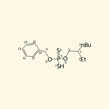 CCCCC(CC)COP(=S)(S)OCc1ccccc1